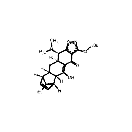 CCCCOc1noc2c1C(=O)C1=C(O)[C@H]3[C@@H](C[C@H]1[C@H]2N(C)C)[C@H]1C=C[C@@H]3C1CC